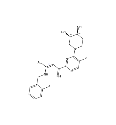 CC(=O)/C(=C/C(=N)c1ncc(F)c(N2CC[C@H](O)[C@H](O)C2)n1)NCc1ccccc1F